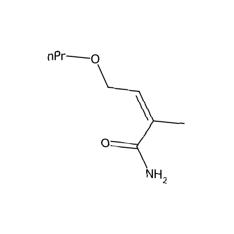 CCCOCC=C(C)C(N)=O